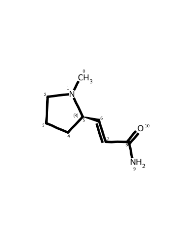 CN1CCC[C@@H]1C=CC(N)=O